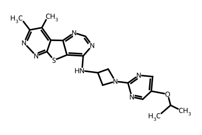 Cc1nnc2sc3c(NC4CN(c5ncc(OC(C)C)cn5)C4)ncnc3c2c1C